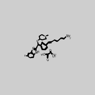 CN1CCC(OC(c2cccc(C#CCCCCN)c2)c2nc3cc(F)ccc3[nH]2)CC1.O=C(O)C(=O)O